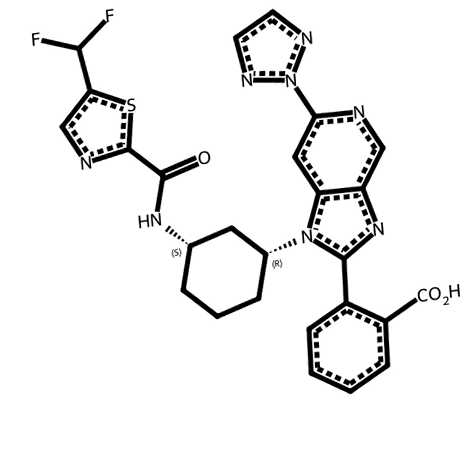 O=C(N[C@H]1CCC[C@@H](n2c(-c3ccccc3C(=O)O)nc3cnc(-n4nccn4)cc32)C1)c1ncc(C(F)F)s1